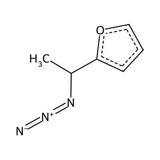 CC(N=[N+]=[N-])c1ccco1